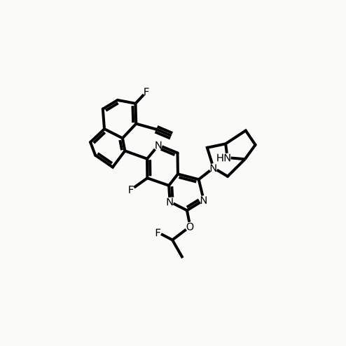 C#Cc1c(F)ccc2cccc(-c3ncc4c(N5CC6CCC(C5)N6)nc(OC(C)F)nc4c3F)c12